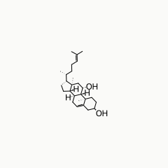 CC(C)=CCC[C@@H](C)[C@H]1CC[C@H]2[C@@H]3CC=C4C[C@H](O)CC[C@]4(C)[C@H]3[C@@H](O)C[C@]12C